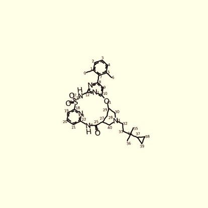 Cc1cccc(C)c1-c1cc2nc(n1)NS(=O)(=O)c1cccc(n1)NC(=O)C1CC(CN(CCC(C)(C)C3CC3)C1)O2